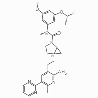 COc1cc(OC(F)F)cc([C@H](C)C(=O)N2CC[C@]3(CCc4cc(-c5ncccn5)c(C)nc4N)CC23)c1